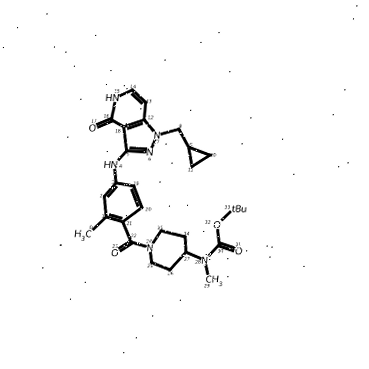 Cc1cc(Nc2nn(CC3CC3)c3cc[nH]c(=O)c23)ccc1C(=O)N1CCC(N(C)C(=O)OC(C)(C)C)CC1